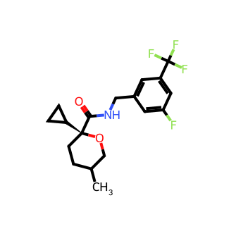 CC1CC[C@@](C(=O)NCc2cc(F)cc(C(F)(F)F)c2)(C2CC2)OC1